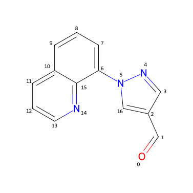 O=Cc1cnn(-c2cccc3cccnc23)c1